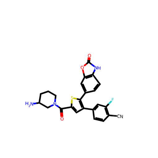 N#Cc1ccc(-c2cc(C(=O)N3CCCC(N)C3)sc2-c2ccc3[nH]c(=O)oc3c2)cc1F